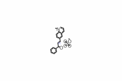 COS(=O)(=O)[O-].C[n+]1cccc2cc(/C=C/C(=O)c3ccccc3)ccc21